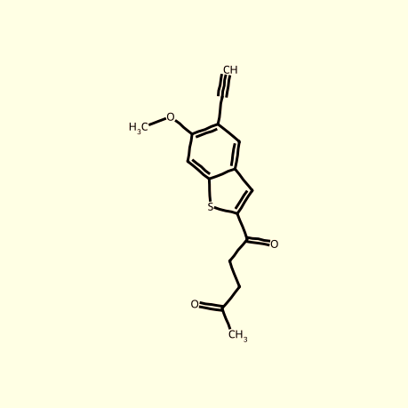 C#Cc1cc2cc(C(=O)CCC(C)=O)sc2cc1OC